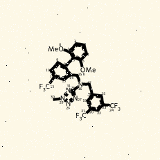 COc1cccc(OC)c1-c1ccc(C(F)(F)F)cc1CN(Cc1cc(C(F)(F)F)cc(C(F)(F)F)c1)c1nnn(C)n1